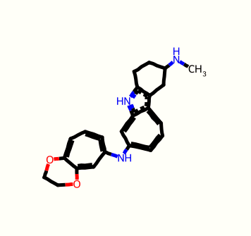 CNC1CCc2[nH]c3c(c2C1)=CC=C=C(NC1=C=CC=C2OCCOC2=C1)C=3